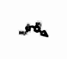 Cc1nc(N2CC3CC3C2)ccc1Cc1cc(C(=O)O)co1